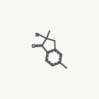 Cc1ccc2c(c1)CC(C)(Br)C2=O